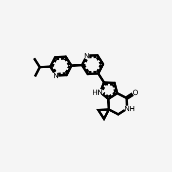 CC(C)c1ccc(-c2cc(-c3cc4c([nH]3)C3(CC3)CNC4=O)ccn2)cn1